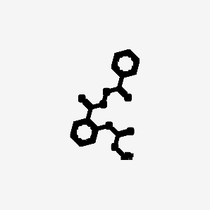 CCCOC(=O)Oc1ccccc1C(=O)OOC(=O)c1ccccc1